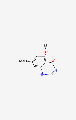 CCOc1cc(OC)cc2[nH]cnc(=O)c12